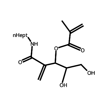 C=C(C)C(=O)OC(C(=C)C(=O)NCCCCCCC)C(O)CO